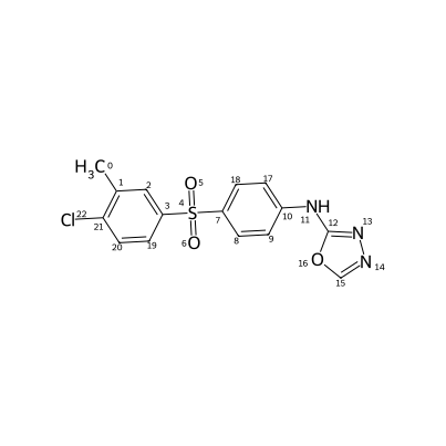 Cc1cc(S(=O)(=O)c2ccc(Nc3nnco3)cc2)ccc1Cl